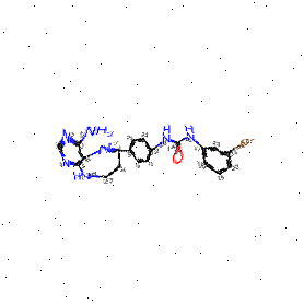 Nc1ncnc2c1N=C(c1ccc(NC(=O)Nc3cccc(Br)c3)cc1)CCN2